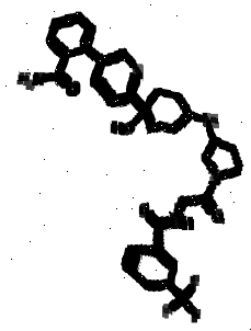 NC(=O)c1ccccc1-c1ccc(C2(O)CCC(NC3CCN(C(=O)CNC(=O)c4cccc(C(F)(F)F)c4)C3)CC2)nc1